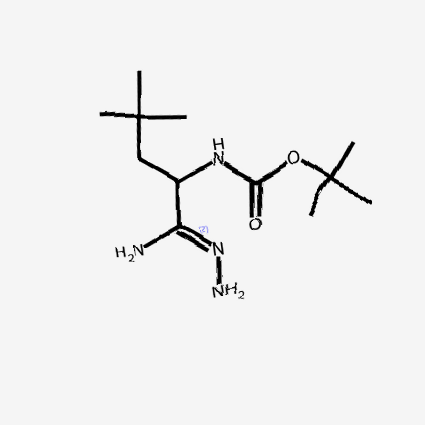 CC(C)(C)CC(NC(=O)OC(C)(C)C)/C(N)=N/N